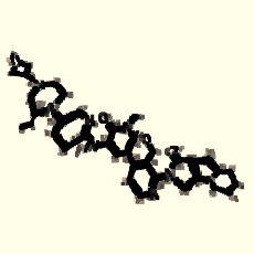 C=C[C@H]1CN(C2COC2)CCN1c1ccc(Nc2cc(-c3ccnc(N4Cc5c(cc6n5CCCC6)C4=O)c3CO)cn(C)c2=O)nc1